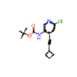 CC(C)(C)OC(=O)Nc1cnc(Cl)cc1C#CC1CCC1